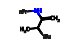 C=C(NCCC)C(C)C(C)(C)C